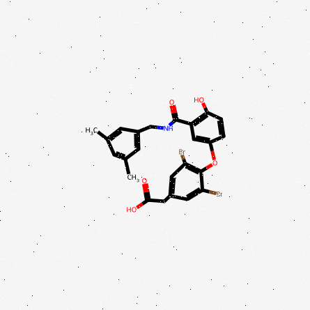 Cc1cc(C)cc(CNC(=O)c2cc(Oc3c(Br)cc(CC(=O)O)cc3Br)ccc2O)c1